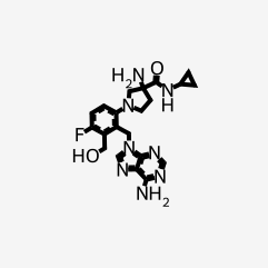 Nc1ncnc2c1ncn2Cc1c(N2CCC(N)(C(=O)NC3CC3)C2)ccc(F)c1CO